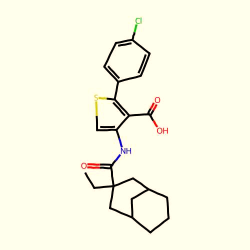 CCC1(C(=O)Nc2csc(-c3ccc(Cl)cc3)c2C(=O)O)CC2CCCC(C2)C1